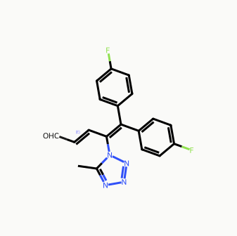 Cc1nnnn1C(/C=C/C=O)=C(c1ccc(F)cc1)c1ccc(F)cc1